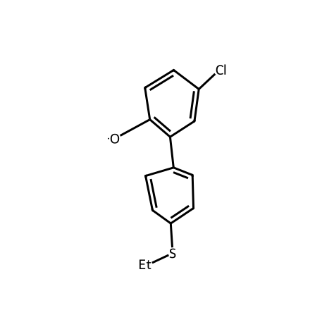 CCSc1ccc(-c2cc(Cl)ccc2[O])cc1